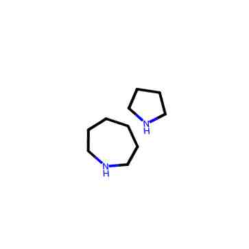 C1CCCNCC1.C1CCNC1